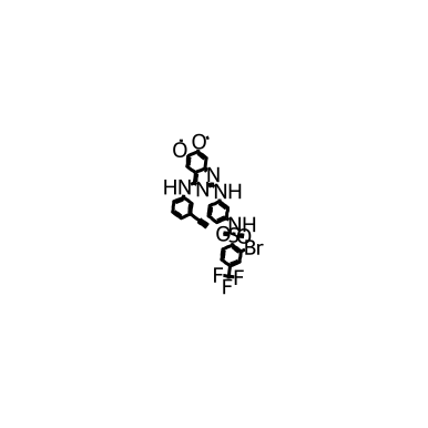 C#Cc1cccc(Nc2nc(Nc3cccc(NS(=O)(=O)c4ccc(C(F)(F)F)cc4Br)c3)nc3cc(OC)c(OC)cc23)c1